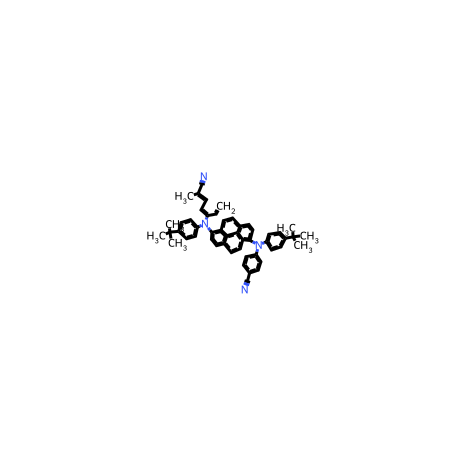 C=C/C(=C\C=C(/C)C#N)N(c1ccc(C(C)(C)C)cc1)c1ccc2ccc3c(N(c4ccc(C#N)cc4)c4ccc(C(C)(C)C)cc4)ccc4ccc1c2c43